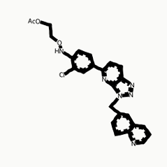 CC(=O)OCCONc1ccc(-c2ccc3nnn(Cc4ccc5ncccc5c4)c3n2)cc1Cl